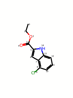 CCOC(=O)c1cc2c(Cl)cccc2[nH]1